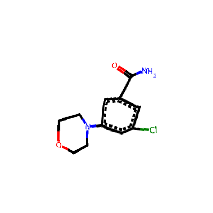 NC(=O)c1cc(Cl)cc(N2CCOCC2)c1